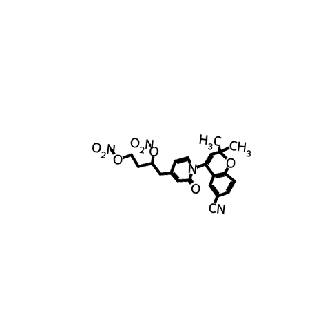 CC1(C)C=C(n2ccc(CC(CCO[N+](=O)[O-])O[N+](=O)[O-])cc2=O)c2cc(C#N)ccc2O1